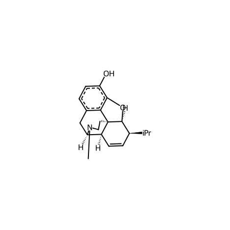 CC(C)[C@H]1C=C[C@H]2[C@H]3Cc4ccc(O)c5c4[C@@]2(CCN3C)[C@H]1O5